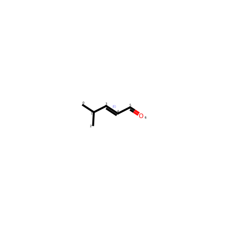 CC(C)/C=C/[C]=O